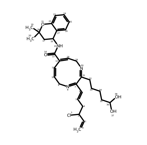 C=CC(Cl)C/C=C/C1=N/C/C=C\C(C(=O)NC2CC(C)(C)Oc3ccccc32)=C/C/N=C\1CCCCC(O)O